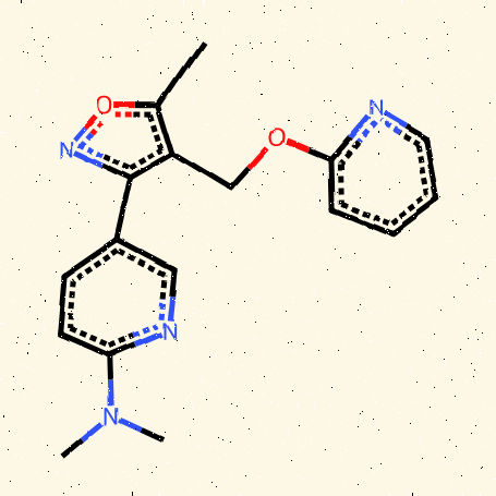 Cc1onc(-c2ccc(N(C)C)nc2)c1COc1ccccn1